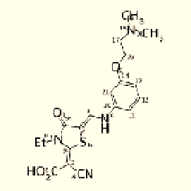 CCn1c(=C(C#N)C(=O)O)sc(=CNc2cccc(OCCN(C)C)c2)c1=O